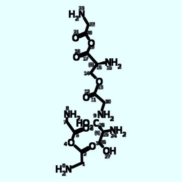 NCC(=O)OC(=O)CN.NCC(=O)OC[C@H](N)C(=O)OC(=O)CN.N[C@@H](CO)C(=O)O